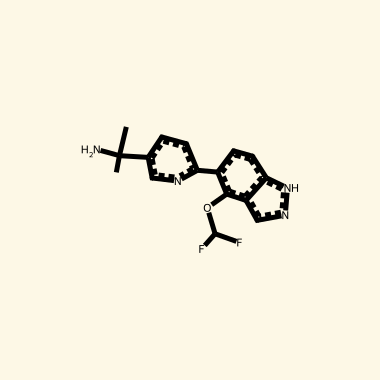 CC(C)(N)c1ccc(-c2ccc3[nH]ncc3c2OC(F)F)nc1